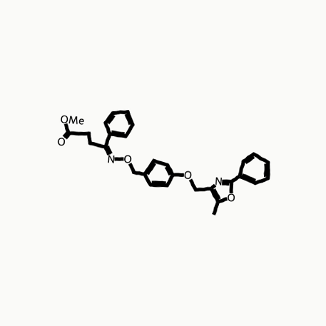 COC(=O)CCC(=NOCc1ccc(OCc2nc(-c3ccccc3)oc2C)cc1)c1ccccc1